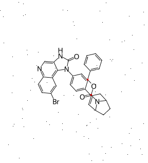 O=C(OCc1ccccc1)N1C2C=C(c3ccc(-n4c(=O)[nH]c5cnc6ccc(Br)cc6c54)cc3)CC1CC2